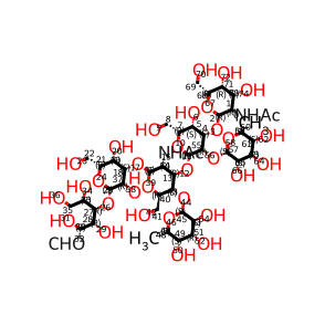 CC(=O)N[C@H]1[C@@H](O[C@H]2[C@@H](O)[C@@H](CO)O[C@@H](O[C@@H]3[C@@H](NC(C)=O)[C@H](O[C@H]4[C@@H](O)[C@@H](CO)O[C@@H](O[C@@H]([C@H](O)[C@@H](O)C=O)[C@H](O)CO)[C@@H]4O)O[C@H](CO)[C@H]3O[C@@H]3O[C@@H](C)[C@@H](O)[C@@H](O)[C@@H]3O)[C@@H]2O[C@@H]2O[C@@H](C)[C@@H](O)[C@@H](O)[C@@H]2O)O[C@H](CO)[C@H](O)[C@@H]1O